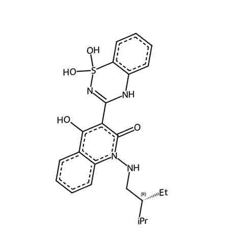 CC[C@@H](CNn1c(=O)c(C2=NS(O)(O)c3ccccc3N2)c(O)c2ccccc21)C(C)C